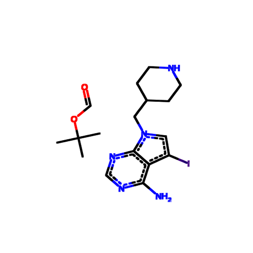 CC(C)(C)OC=O.Nc1ncnc2c1c(I)cn2CC1CCNCC1